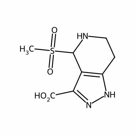 CS(=O)(=O)C1NCCc2[nH]nc(C(=O)O)c21